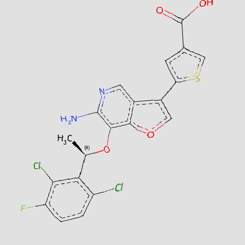 C[C@@H](Oc1c(N)ncc2c(-c3cc(C(=O)O)cs3)coc12)c1c(Cl)ccc(F)c1Cl